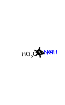 C[C]12[C]3(C)[C]4(C)[C]5(C)[C]1(C)[Fe]23451678[CH]2[CH]1[CH]6[C]7(C(=O)O)[CH]28.[N-]=[N+]=N